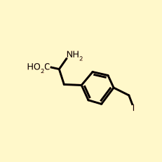 NC(Cc1ccc(CI)cc1)C(=O)O